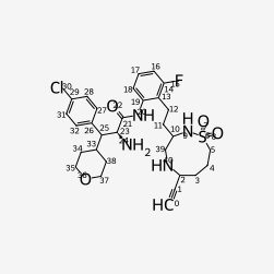 C#CC1CCCS(=O)(=O)NC(CCc2c(F)cccc2NC(=O)[C@@H](N)C(c2ccc(Cl)cc2)C2CCOCC2)CN1